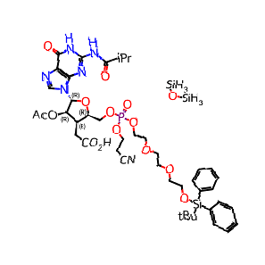 CC(=O)O[C@@H]1[C@H](CC(=O)O)[C@H](COP(=O)(OCCC#N)OCCOCCOCCO[Si](c2ccccc2)(c2ccccc2)C(C)(C)C)O[C@H]1n1cnc2c(=O)[nH]c(NC(=O)C(C)C)nc21.[SiH3]O[SiH3]